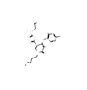 C=CCNc1nnc(-c2cn(CCCN(C)C)c(=O)c(F)c2Nc2ccc(I)cc2C)o1